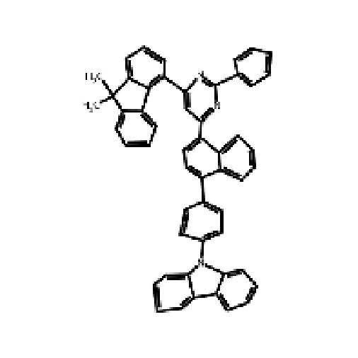 CC1(C)c2ccccc2-c2c(-c3cc(-c4ccc(-c5ccc(-n6c7ccccc7c7ccccc76)cc5)c5ccccc45)nc(-c4ccccc4)n3)cccc21